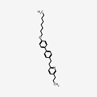 CCCCCCCCOc1ccc(-c2ccc(CCc3ccc(CCC)cn3)cc2)cc1